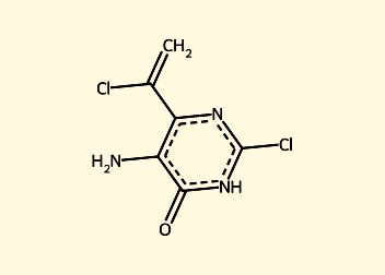 C=C(Cl)c1nc(Cl)[nH]c(=O)c1N